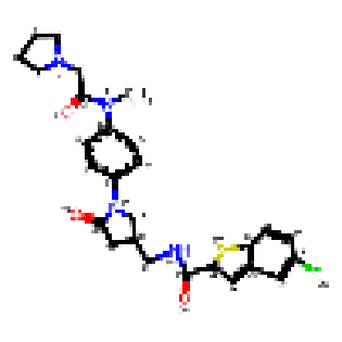 CN(C(=O)CN1CCCC1)c1ccc(N2CC(CNC(=O)C3C=C4C=C(Cl)C=CC4S3)CC2=O)cc1